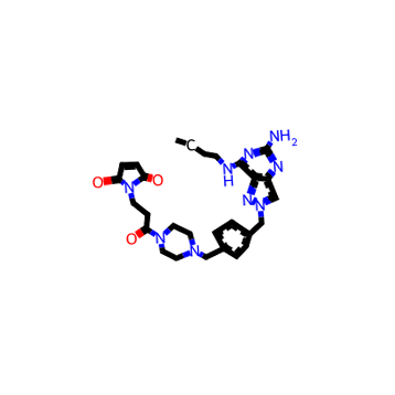 CCCCNc1nc(N)nc2cn(Cc3ccc(CN4CCN(C(=O)CCN5C(=O)C=CC5=O)CC4)cc3)nc12